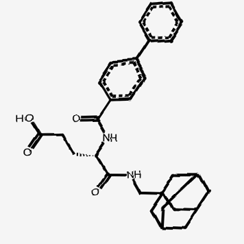 O=C(O)CC[C@H](NC(=O)c1ccc(-c2ccccc2)cc1)C(=O)NCC12CC3CC(CC(C3)C1)C2